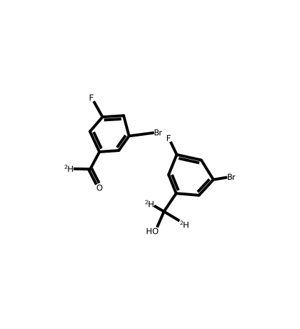 [2H]C(=O)c1cc(F)cc(Br)c1.[2H]C([2H])(O)c1cc(F)cc(Br)c1